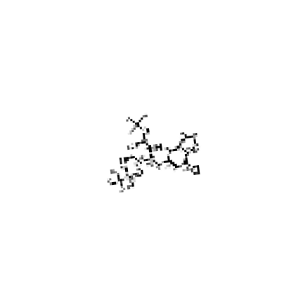 CC(C)(C)OC(=O)N[C@@H](Cc1cc(Cl)c2c(c1)OCO2)[C@@H](C=O)O[Si](C)(C)C(C)(C)C